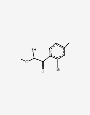 COC(S)C(=O)c1ccc(C)cc1Br